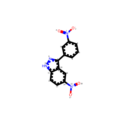 O=[N+]([O-])c1cccc(-c2n[nH]c3ccc([N+](=O)[O-])cc23)c1